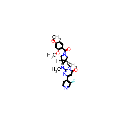 COc1ccc(C(=O)N2C[C@@H]3[C@H](C2)[C@H]3N(C)c2nc(-c3ccncc3F)cc(=O)n2C)c(OC)c1